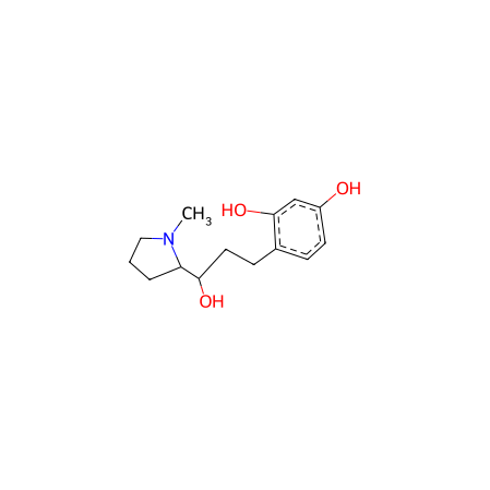 CN1CCCC1C(O)CCc1ccc(O)cc1O